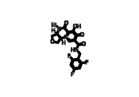 CCN1C(=O)c2c(O)c(=O)c(C(=O)NCc3c(F)cc(F)cc3F)cn2[C@H]2COC[C@H]21